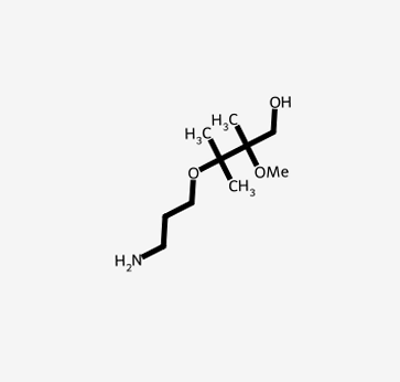 COC(C)(CO)C(C)(C)OCCCN